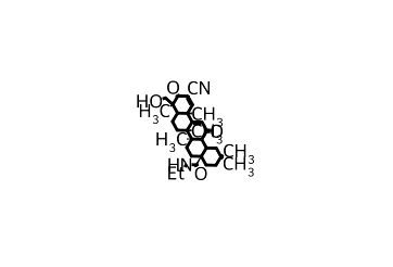 CCNC(=O)[C@]12CCC(C)(C)CC1C1C(=O)C=C3[C@@]4(C)C=C(C#N)C(=O)[C@@](C)(CO)C4CC[C@@]3(C)[C@]1(C)CC2